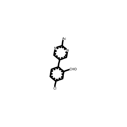 CC(=O)c1ncc(-c2ccc(Cl)cc2C=O)cn1